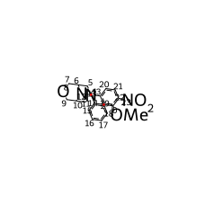 COc1cc(N2CC3COCC(C2)N3Cc2ccccc2)ccc1[N+](=O)[O-]